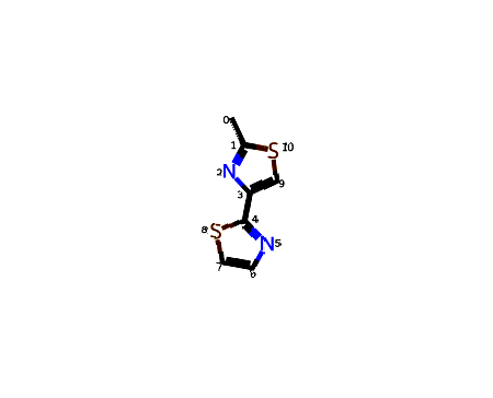 Cc1nc(-c2nccs2)cs1